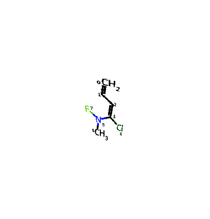 C=C/C=C(/Cl)N(C)F